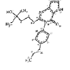 CC(C)(O)CCSc1nc2cc[nH]c2c(=O)n1-c1ccc(OCC(F)(F)F)cc1